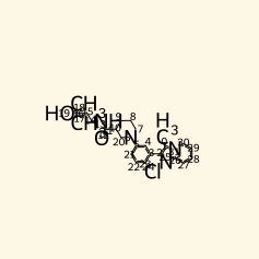 Cc1c(-c2cc(N3CCCC(C(=O)NCCC(C)(C)O)C3)ccc2Cl)nc2ccccn12